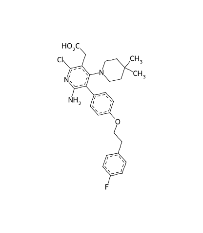 CC1(C)CCN(c2c(CC(=O)O)c(Cl)nc(N)c2-c2ccc(OCCc3ccc(F)cc3)cc2)CC1